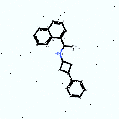 CC(NC1CC(c2ccccc2)C1)c1cccc2ccccc12